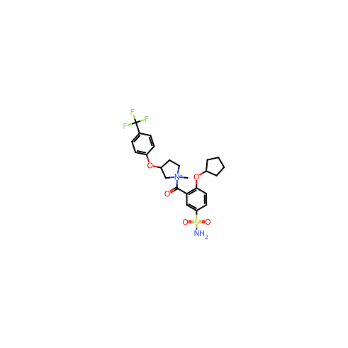 C[N+]1(C(=O)c2cc(S(N)(=O)=O)ccc2OC2CCCC2)CCC(Oc2ccc(C(F)(F)F)cc2)C1